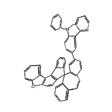 C1=Cc2ccc(-c3ccc4c(c3)c3ncccc3n4-c3ccccc3)cc2C2(c3ccccc31)c1ccccc1-c1c2ccc2oc3ccccc3c12